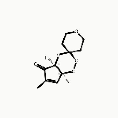 CC1=C[C@]2(C)OOC3(CCOCC3)O[C@@H]2C1=O